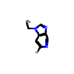 CCc1cc2c(cn1)ncn2CC(C)(C)C